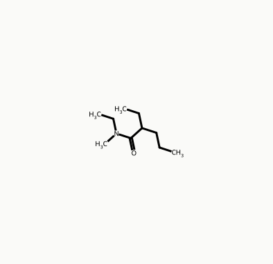 CCCC(CC)C(=O)N(C)CC